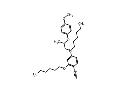 CCCCCCOc1cc(N(CCCCCC)CC(C)Oc2ccc(OC)cc2)ccc1[N+]#N